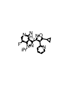 CC(C)n1nc(-c2noc(C3CC3)c2-c2ccccn2)c2c(N)ncc(F)c21